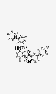 Cc1ccc(NC(=O)c2ccnc(N3CCCCC3)c2)cc1-n1cnc2ccc(N3CCN(C)CC3)cc2c1=O